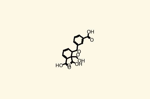 O=C(O)C1=CC=CC(C(=O)c2cccc(C(=O)O)c2)C1(C(=O)O)C(=O)O